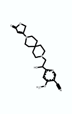 COc1cc(C(O)CN2CCC3(CC2)CCN(C2=CC(=O)OC2)CC3)ncc1C#N